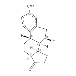 CC[C@@H]1Cc2cc(OC)ccc2[C@H]2CC[C@]3(C)C(=O)CC[C@@H]3[C@H]12